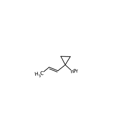 CC=CC1(CCC)CC1